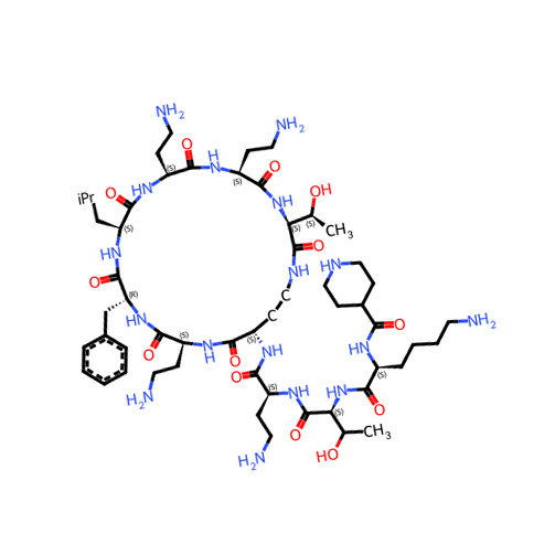 CC(C)C[C@@H]1NC(=O)[C@@H](Cc2ccccc2)NC(=O)[C@H](CCN)NC(=O)[C@@H](NC(=O)[C@H](CCN)NC(=O)[C@@H](NC(=O)[C@H](CCCCN)NC(=O)C2CCNCC2)C(C)O)CCNC(=O)[C@H]([C@H](C)O)NC(=O)[C@H](CCN)NC(=O)[C@H](CCN)NC1=O